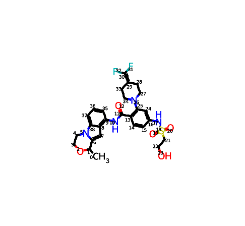 CC1OCCn2c1cc1c(NC(=O)c3ccc(NS(=O)(=O)CCO)cc3N3CCC(=C(F)F)CC3)cccc12